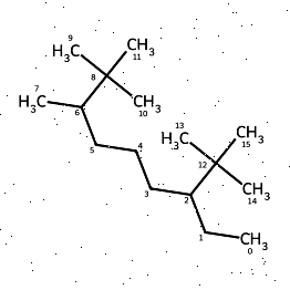 CCC(C[CH]CC(C)C(C)(C)C)C(C)(C)C